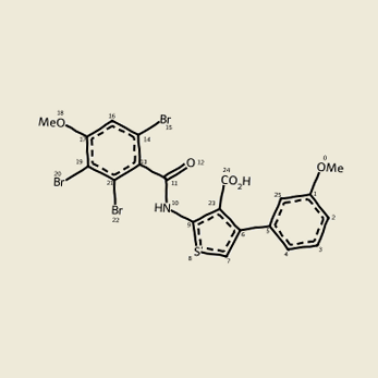 COc1cccc(-c2csc(NC(=O)c3c(Br)cc(OC)c(Br)c3Br)c2C(=O)O)c1